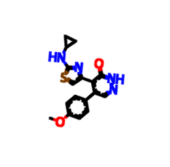 COc1ccc(-c2cn[nH]c(=O)c2-c2csc(NC3CC3)n2)cc1